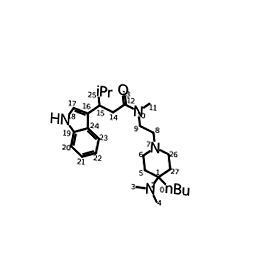 CCCCC1(N(C)C)CCN(CCN(C)C(=O)CC(c2c[nH]c3ccccc23)C(C)C)CC1